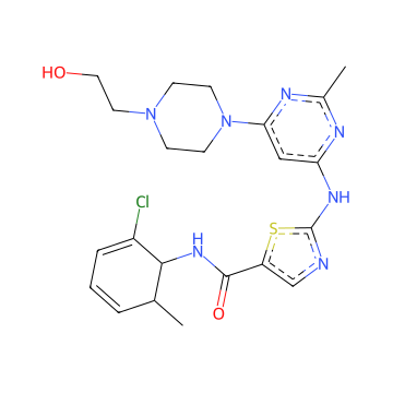 Cc1nc(Nc2ncc(C(=O)NC3C(Cl)=CC=CC3C)s2)cc(N2CCN(CCO)CC2)n1